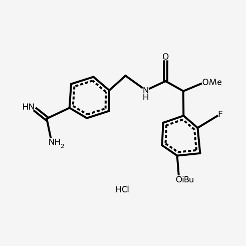 COC(C(=O)NCc1ccc(C(=N)N)cc1)c1ccc(OCC(C)C)cc1F.Cl